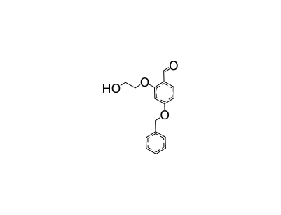 O=Cc1ccc(OCc2ccccc2)cc1OCCO